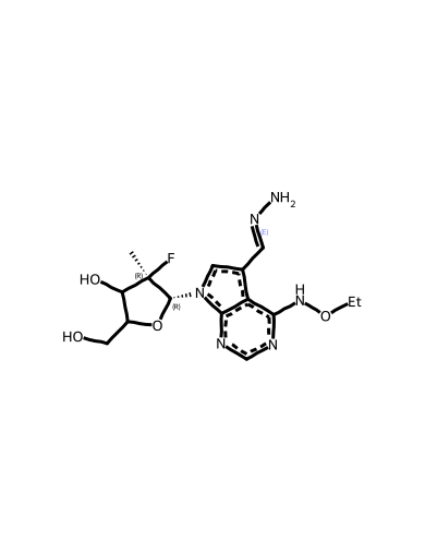 CCONc1ncnc2c1c(/C=N/N)cn2[C@@H]1OC(CO)C(O)[C@@]1(C)F